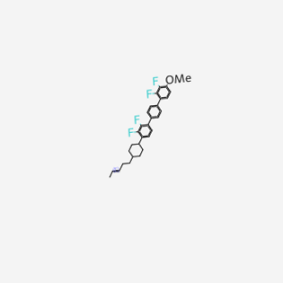 C/C=C/CCC1CCC(c2ccc(-c3ccc(-c4ccc(OC)c(F)c4F)cc3)c(F)c2F)CC1